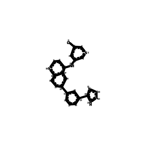 Clc1cncc(Nc2ccnc3ccc(-c4cccc(-c5nnn[nH]5)c4)cc23)c1